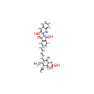 [C-]#[N+]C1=C(C)/C(=C/C=C/C=C/c2ccc3c(c2)C(=O)C(c2nc4ccccc4cc2O)C3O)C(=O)C(CC(=O)O)C1=O